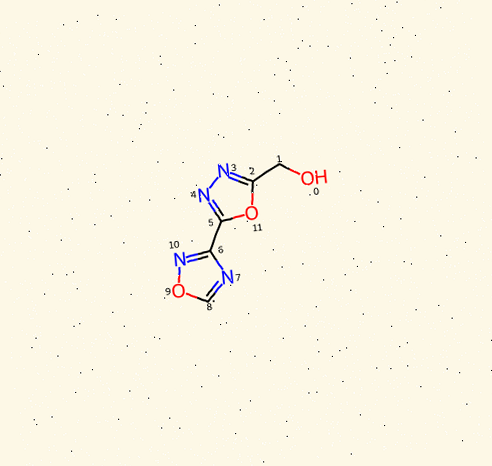 OCc1nnc(-c2n[c]on2)o1